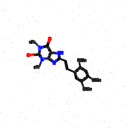 CCCn1c(=O)c2[nH]c(C=Cc3cc(OC)c(OC)cc3OC)nc2n(CCC)c1=O